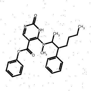 CCCCC(c1ccccc1)C(C)N(C)c1[nH]c(=O)ncc1C(=O)Oc1ccccc1